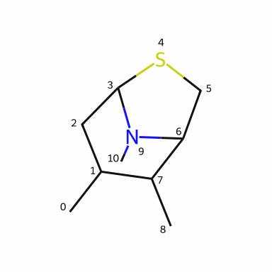 CC1CC2SCC(C1C)N2C